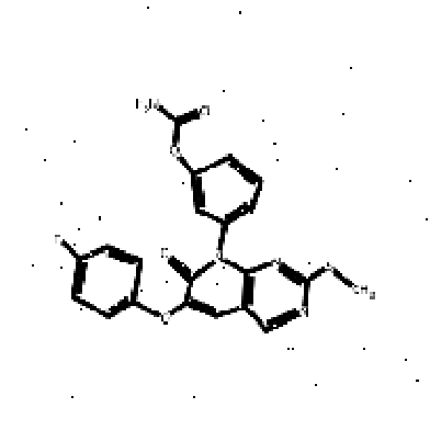 CSc1ncc2cc(Oc3ccc(F)cc3)c(=O)n(-c3cccc(OC(N)=O)c3)c2n1